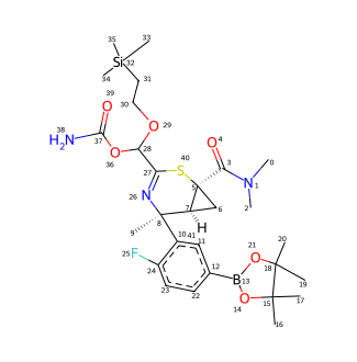 CN(C)C(=O)[C@]12C[C@H]1[C@@](C)(c1cc(B3OC(C)(C)C(C)(C)O3)ccc1F)N=C(C(OCC[Si](C)(C)C)OC(N)=O)S2